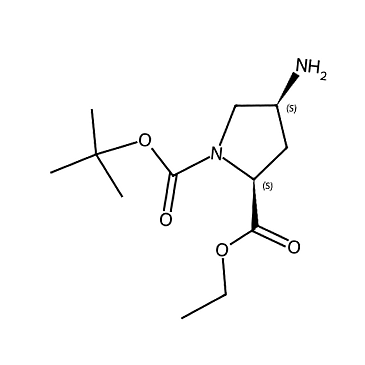 CCOC(=O)[C@@H]1C[C@H](N)CN1C(=O)OC(C)(C)C